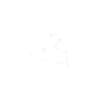 Br.CCCCC1C=C1.CN(C)C